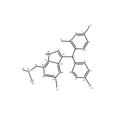 Cc1cc(F)ccc1C(c1ccc(F)cc1)c1c[nH]c2c(C[S+](C)[O-])cc(F)cc12